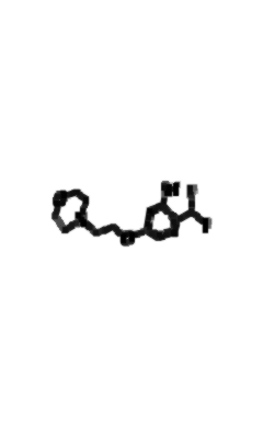 FC(F)c1ccc(OCCN2CCOCC2)cc1S